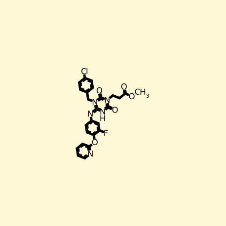 COC(=O)CCn1c(=O)[nH]/c(=N\c2ccc(Oc3ccccn3)c(F)c2)n(Cc2ccc(Cl)cc2)c1=O